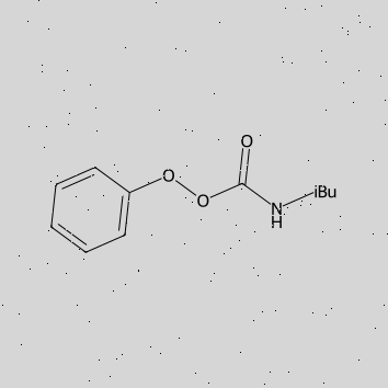 CCC(C)NC(=O)OOc1ccccc1